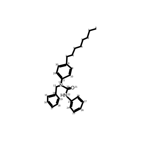 CCCCCCCCc1ccc(N(Cc2ccccc2)C(=O)Nc2ccccc2)cc1